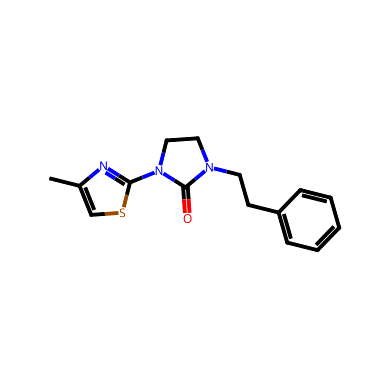 Cc1csc(N2CCN(CCc3ccccc3)C2=O)n1